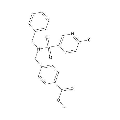 COC(=O)c1ccc(CN(Cc2ccccc2)S(=O)(=O)c2ccc(Cl)nc2)cc1